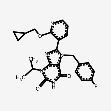 CC(C)n1c(=O)[nH]c(=O)c2c1nc(-c1cccnc1OCC1CC1)n2Cc1ccc(F)cc1